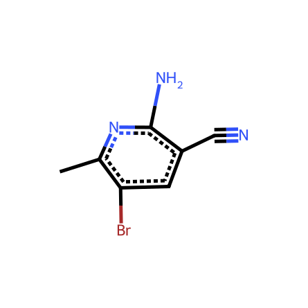 Cc1nc(N)c(C#N)cc1Br